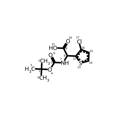 CC(C)(C)OC(=O)NC(C(=O)O)c1sccc1Cl